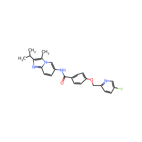 Cc1c(C(C)C)nc2ccc(NC(=O)c3ccc(OCc4ccc(F)cn4)cc3)cn12